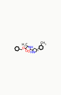 Cc1cccc([C@H]2CN[C@@H](C(=O)N[C@@H](C)C(=O)OCc3ccccc3)C2)c1